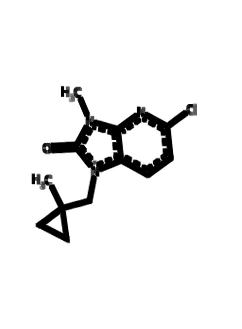 Cn1c(=O)n(CC2(C)CC2)c2ccc(Cl)nc21